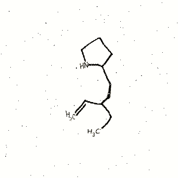 C=CC(CC)CC1CCCN1